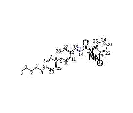 CCCCCc1ccc(-c2ccc(/C=C/C(=O)n3n[n+]([O-])c4ccccc43)cc2)cc1